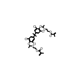 C=C(C)C(=O)OCCOC(C)Oc1c(Cl)cc(C(C)(C)c2cc(Cl)c(OC(C)OCCOC(=O)C(=C)C)c(Cl)c2)cc1Cl